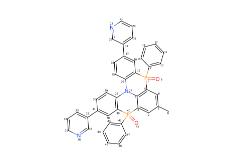 Cc1cc2c3c(c1)P(=O)(c1ccccc1)c1cc(-c4cccnc4)ccc1N3c1ccc(-c3cccnc3)cc1P2(=O)c1ccccc1